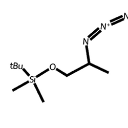 CC(CO[Si](C)(C)C(C)(C)C)N=[N+]=[N-]